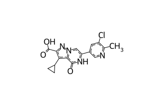 Cc1ncc(-c2cn3nc(C(=O)O)c(C4CC4)c3c(=O)[nH]2)cc1Cl